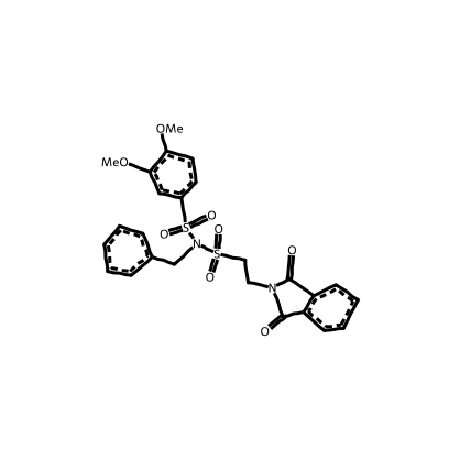 COc1ccc(S(=O)(=O)N(Cc2ccccc2)S(=O)(=O)CCN2C(=O)c3ccccc3C2=O)cc1OC